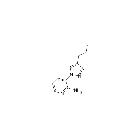 CCCc1cn(-c2cccnc2N)nn1